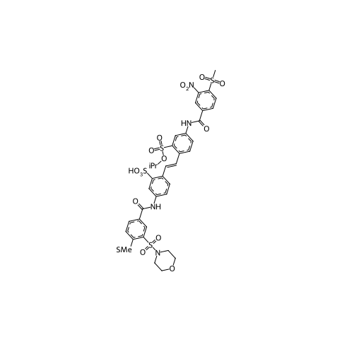 CSc1ccc(C(=O)Nc2ccc(C=Cc3ccc(NC(=O)c4ccc(S(C)(=O)=O)c([N+](=O)[O-])c4)cc3S(=O)(=O)OC(C)C)c(S(=O)(=O)O)c2)cc1S(=O)(=O)N1CCOCC1